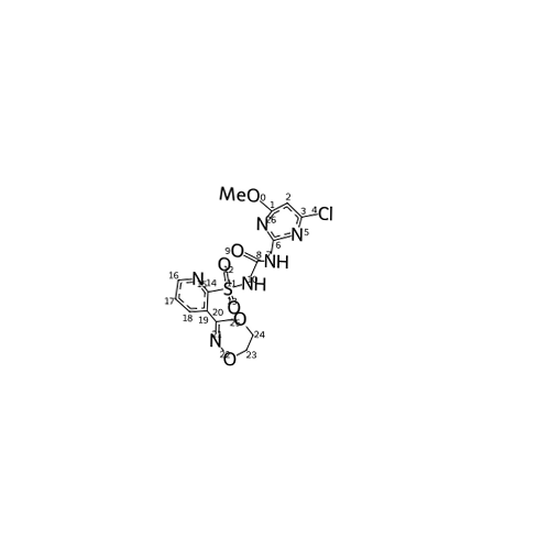 COc1cc(Cl)nc(NC(=O)NS(=O)(=O)c2ncccc2C2=NOCCO2)n1